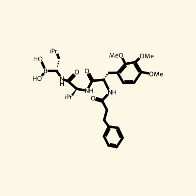 COc1ccc(C[C@H](NC(=O)CCc2ccccc2)C(=O)N[C@H](C(=O)N[C@@H](CC(C)C)B(O)O)C(C)C)c(OC)c1OC